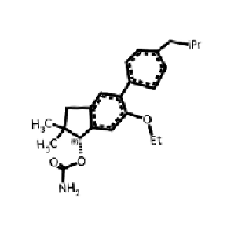 CCOc1cc2c(cc1-c1ccc(CC(C)C)cc1)CC(C)(C)[C@H]2OC(N)=O